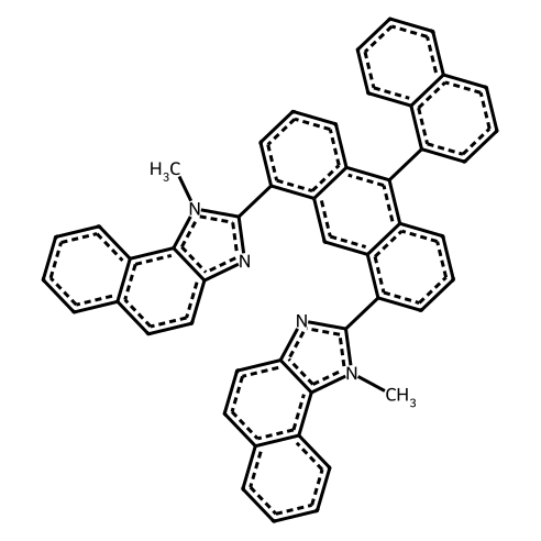 Cn1c(-c2cccc3c(-c4cccc5ccccc45)c4cccc(-c5nc6ccc7ccccc7c6n5C)c4cc23)nc2ccc3ccccc3c21